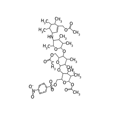 CC(=O)OCC1=CC(NC2C(C)OC(OC3C(COC(C)=O)OC(OC4C(COS(=O)(=O)c5ccc([N+](=O)[O-])cc5)OC(OC(C)=O)C(C)C4C)C(C)C3C)C(C)C2C)C(C)C(C)C1C